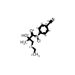 CCSCC(C)(O)C(=O)N(Cl)c1ccc(C#N)cc1